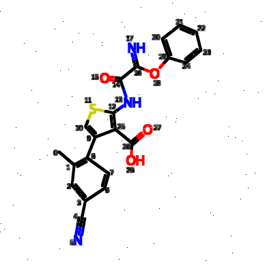 Cc1cc(C#N)ccc1-c1csc(NC(=O)C(=N)Oc2ccccc2)c1C(=O)O